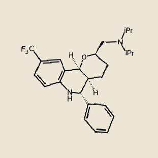 CC(C)N(C[C@H]1CC[C@@H]2[C@H](O1)c1cc(C(F)(F)F)ccc1N[C@H]2c1ccccc1)C(C)C